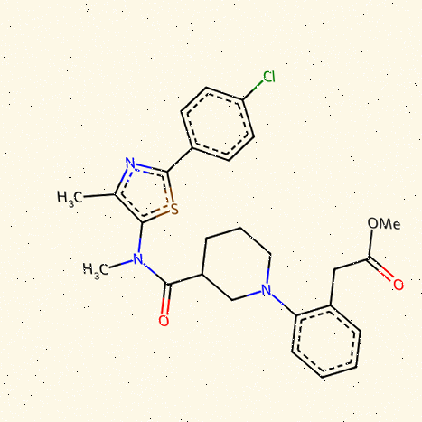 COC(=O)Cc1ccccc1N1CCCC(C(=O)N(C)c2sc(-c3ccc(Cl)cc3)nc2C)C1